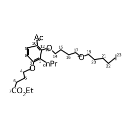 CCCc1c(OCCCC(=O)OCC)ccc(C(C)=O)c1OCCCCOCCCCI